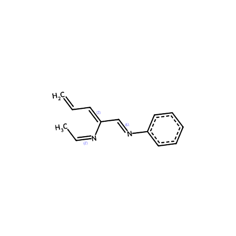 C=C/C=C(/C=N/c1ccccc1)\N=C/C